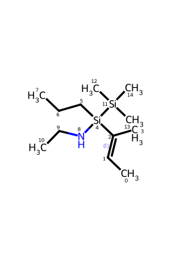 C/C=C(\C)[Si](CCC)(NCC)[Si](C)(C)C